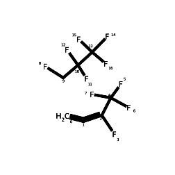 C=C=C(F)C(F)(F)F.FCC(F)(F)C(F)(F)F